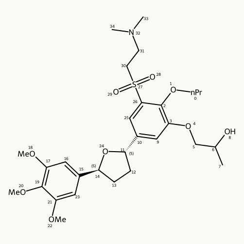 CCCOc1c(OCC(C)O)cc([C@@H]2CC[C@@H](c3cc(OC)c(OC)c(OC)c3)O2)cc1S(=O)(=O)CCN(C)C